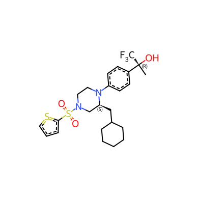 C[C@@](O)(c1ccc(N2CCN(S(=O)(=O)c3cccs3)C[C@@H]2CC2CCCCC2)cc1)C(F)(F)F